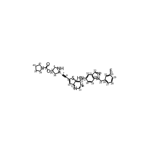 O=C(O[C@H]1CN[C@H](C#Cc2cc3ncnc(Nc4ccc5c(cnn5Cc5cccc(F)c5)c4)c3s2)C1)N1CCCC1